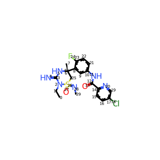 CCN1C(=N)N[C@](C)(c2cc(NC(=O)c3ccc(Cl)cn3)ccc2F)CS1(=O)=NC